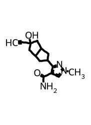 C#CC1(O)CC2CC(c3nn(C)cc3C(N)=O)CC2C1